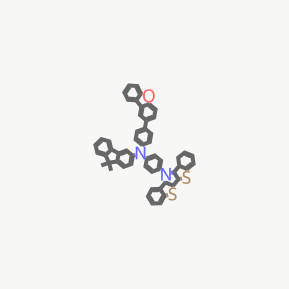 CC1(C)c2ccccc2-c2cc(N(c3ccc(-c4ccc5oc6ccccc6c5c4)cc3)c3ccc(N4C5c6ccccc6SC5C5SC6=CC=CCC6C54)cc3)ccc21